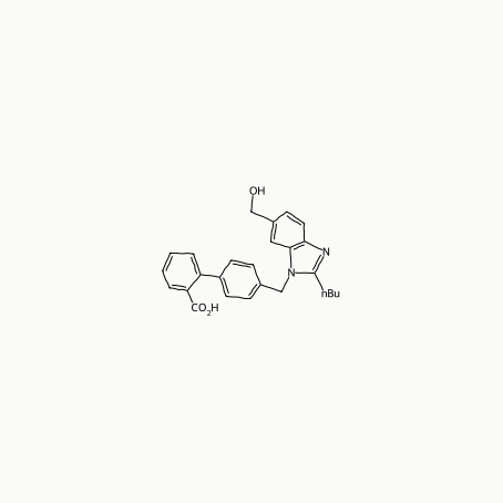 CCCCc1nc2ccc(CO)cc2n1Cc1ccc(-c2ccccc2C(=O)O)cc1